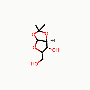 CC1(C)OC2O[C@H](CO)[C@@H](O)[C@@H]2O1